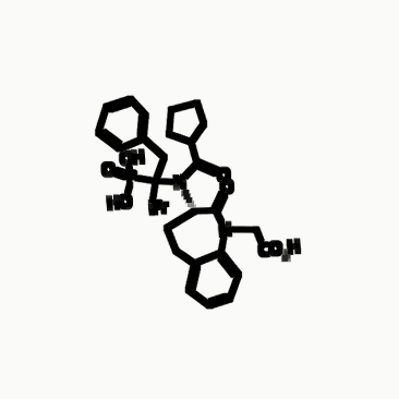 CC(C)C(Cc1ccccc1)(N(C(=O)C1CCCC1)[C@H]1CCc2ccccc2N(CC(=O)O)C1=O)P(=O)(O)O